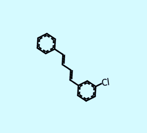 Clc1cccc(/C=C/C=C/c2ccccc2)c1